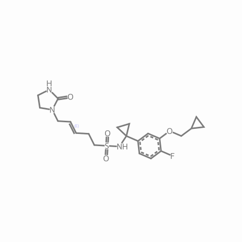 O=C1NCCN1C/C=C/CCS(=O)(=O)NC1(c2ccc(F)c(OCC3CC3)c2)CC1